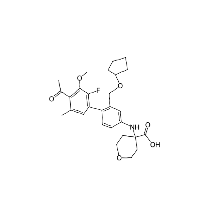 COc1c(F)c(-c2ccc(NC3(C(=O)O)CCOCC3)cc2COC2CCCC2)cc(C)c1C(C)=O